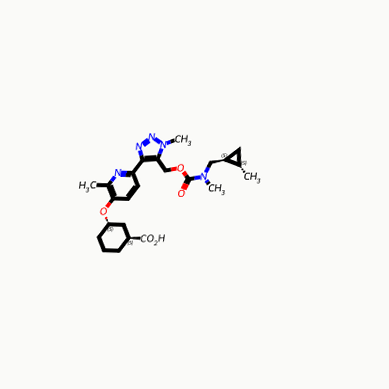 Cc1nc(-c2nnn(C)c2COC(=O)N(C)C[C@H]2C[C@@H]2C)ccc1O[C@H]1CCC[C@H](C(=O)O)C1